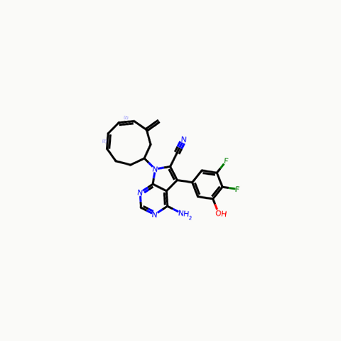 C=C1/C=C\C=C/CCC(n2c(C#N)c(-c3cc(O)c(F)c(F)c3)c3c(N)ncnc32)C1